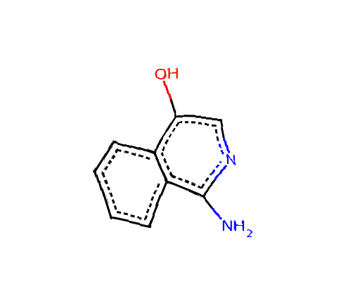 Nc1ncc(O)c2ccccc12